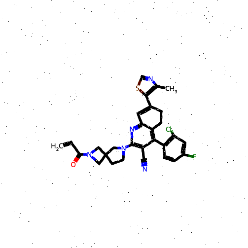 C=CC(=O)N1CC2(CCN(c3nc4c(c(-c5ccc(F)cc5Cl)c3C#N)CCC(c3scnc3C)=C4)C2)C1